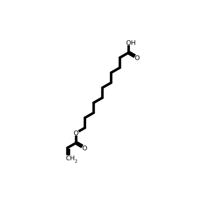 C=CC(=O)OCCCCCCCCCCC(=O)O